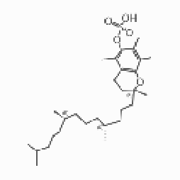 Cc1c(C)c2c(c(C)c1OS(=O)(=O)O)CC[C@@](C)(CCC[C@H](C)CCC[C@H](C)CCCC(C)C)O2